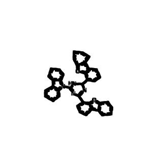 c1ccc2c(c1)oc1c(C3=NC(c4cccc5c4oc4ccccc45)NC(n4c5ccccc5c5ccccc54)=N3)cccc12